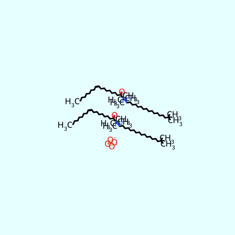 CCCCCCCC/C=C\CCCCCCCC(=O)C(C)(C)[N+](C)(C)CCCCCCCCCCCCCCCC(C)C.CCCCCCCC/C=C\CCCCCCCC(=O)C(C)(C)[N+](C)(C)CCCCCCCCCCCCCCCC(C)C.O=S(=O)([O-])[O-]